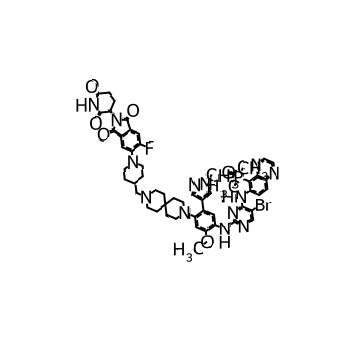 COc1cc(N2CCC3(CCN(CC4CCN(c5cc6c(cc5F)C(=O)N(C5CCC(=O)NC5=O)C6=O)CC4)CC3)CC2)c(-c2cnn(C)c2)cc1Nc1ncc(Br)c(Nc2ccc3nccnc3c2P(C)(C)=O)n1